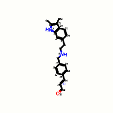 Cc1[nH]c2cc(CCNCc3ccc(/C=C/C=O)cc3)ccc2c1C